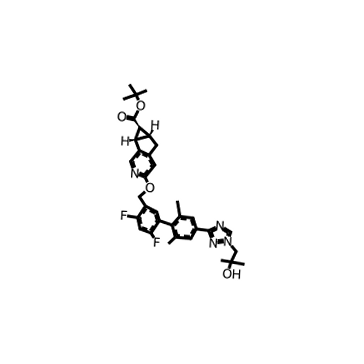 Cc1cc(-c2ncn(CC(C)(C)O)n2)cc(C)c1-c1cc(COc2cc3c(cn2)[C@H]2[C@@H](C3)[C@@H]2C(=O)OC(C)(C)C)c(F)cc1F